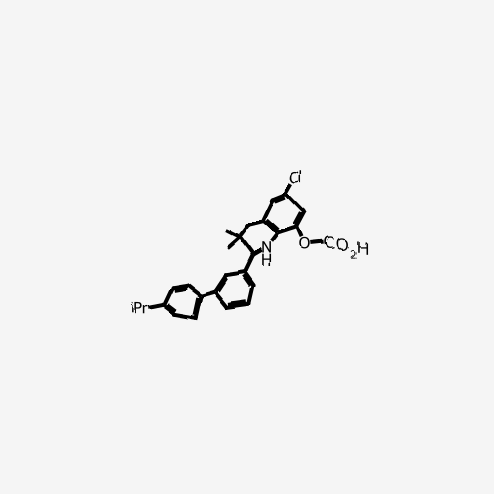 CC(C)c1ccc(-c2cccc(C3Nc4c(cc(Cl)cc4OC(=O)O)CC3(C)C)c2)cc1